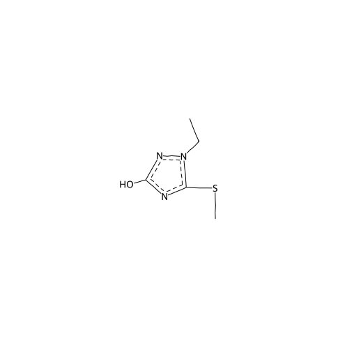 CCn1nc(O)nc1SC